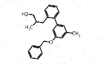 Cc1cc(OCc2ccccc2)cc(-c2ccccc2CC(C)CO)c1